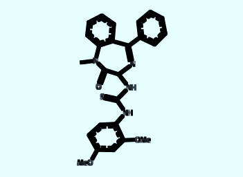 COc1ccc(NC(=S)NC2N=C(c3ccccc3)c3ccccc3N(C)C2=O)c(OC)c1